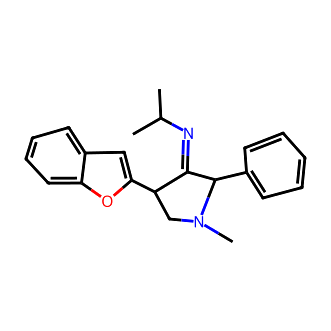 CC(C)N=C1C(c2cc3ccccc3o2)CN(C)C1c1ccccc1